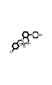 O=S1(=O)NCc2c(N3CCNCC3)cccc2N1Cc1ccc(Cl)cc1